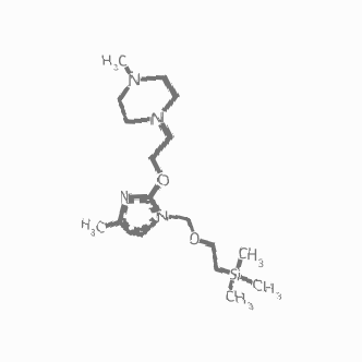 Cc1cn(COCC[Si](C)(C)C)c(OCCN2CCN(C)CC2)n1